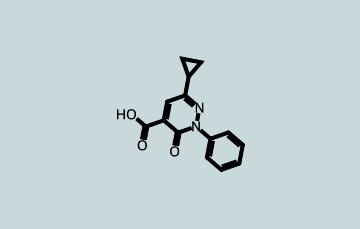 O=C(O)c1cc(C2CC2)nn(-c2ccccc2)c1=O